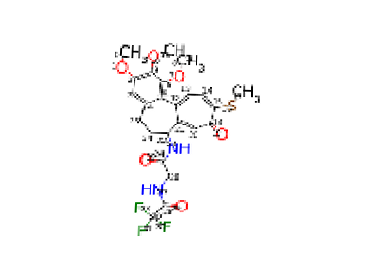 COc1cc2c(c(OC)c1OC)-c1ccc(SC)c(=O)cc1C(NC(=O)CNC(=O)C(F)(F)F)CC2